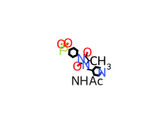 CC(=O)Nc1cc(CN2C(=O)N(c3ccc(S(=O)(=O)F)cc3)C(=O)C2C)ccn1